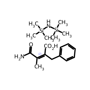 C/C(C(N)=O)=C(\Cc1ccccc1)C(=O)O.C[Si](C)(C)N[Si](C)(C)C